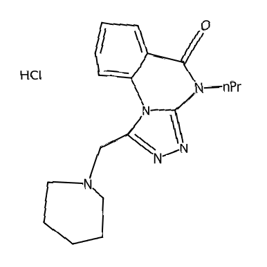 CCCn1c(=O)c2ccccc2n2c(CN3CCCCC3)nnc12.Cl